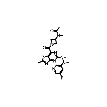 CC(=O)N(C)C1CN(C(=O)c2nc(N[C@@H](C)c3cncc(F)c3)nc3nc(C)sc23)C1